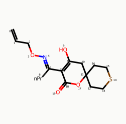 C=CCO/N=C(\CCC)C1=C(O)CC2(CCSCC2)OC1=O